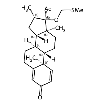 CSCO[C@]1(C(C)=O)[C@@H](C)C[C@H]2[C@@H]3CCC4=CC(=O)C=C[C@]4(C)[C@H]3CC[C@@]21C